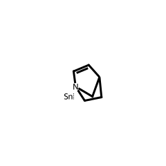 C1=CN2CCC1C2.[Sn]